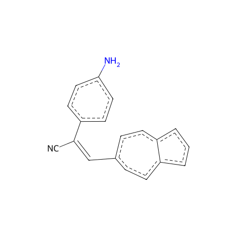 N#CC(=Cc1ccc2cccc-2cc1)c1ccc(N)cc1